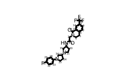 O=C(CN1CCc2ccc(C(F)(F)F)cc2C1=O)NC1CCN(C2CCN(c3ccc(F)cc3)C2)C1